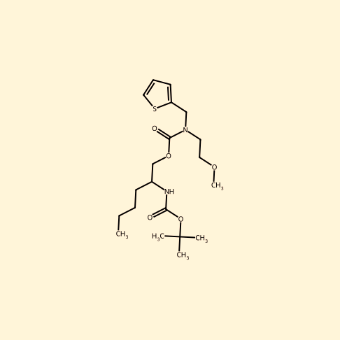 CCCCC(COC(=O)N(CCOC)Cc1cccs1)NC(=O)OC(C)(C)C